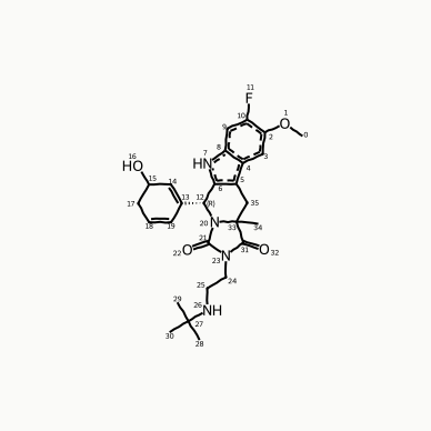 COc1cc2c3c([nH]c2cc1F)[C@@H](C1=CC(O)CC=C1)N1C(=O)N(CCNC(C)(C)C)C(=O)C1(C)C3